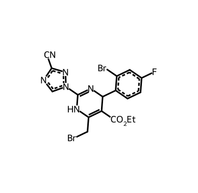 CCOC(=O)C1=C(CBr)NC(n2cnc(C#N)n2)=NC1c1ccc(F)cc1Br